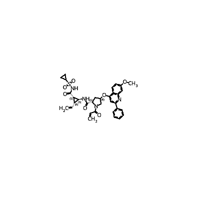 C=CC(=O)N1C[C@H](Oc2cc(-c3ccccc3)nc3cc(OC)ccc23)C[C@H]1C(=O)N[C@H]1[C@H](C=C)[C@@H]1C(=O)NS(=O)(=O)C1CC1